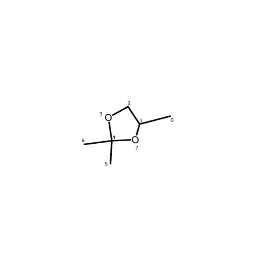 CC1COC(C)(C)O1